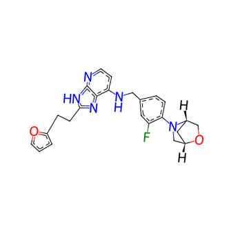 Fc1cc(CNc2ccnc3[nH]c(CCc4ccco4)nc23)ccc1N1C[C@@H]2C[C@H]1CO2